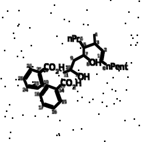 CCCCCC=CC(C)C(CCC)C(O)CC(C)O.O=C(O)c1ccccc1.O=C(O)c1ccccc1